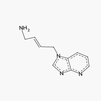 NCC=CCn1cnc2ncccc21